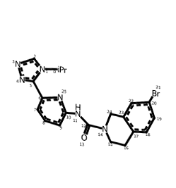 CC(C)n1cnnc1-c1cccc(NC(=O)N2CCc3ccc(Br)cc3C2)n1